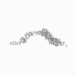 CCCCCCCCc1cnc(-c2ccc(OCCCCOCC(F)(F)C(F)(F)C(F)(F)OC(F)(F)C(F)(F)OC(F)(F)C(F)(F)C(F)(F)C(F)(F)C(F)(F)C(F)(F)F)cc2)nc1